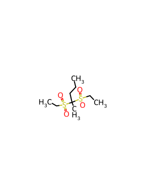 CCCC(C)(S(=O)(=O)CC)S(=O)(=O)CC